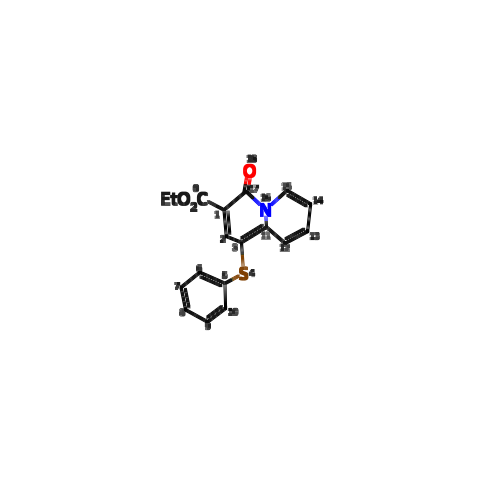 CCOC(=O)c1cc(Sc2ccccc2)c2ccccn2c1=O